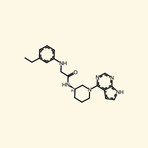 CCc1cccc(NCC(=O)N[C@@H]2CCCN(c3ncnc4[nH]ccc34)C2)c1